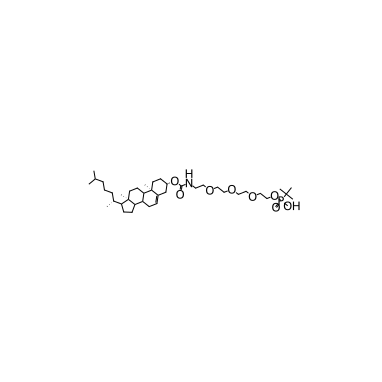 CC(C)CCC[C@@H](C)C1CCC2C3CC=C4C[C@@H](OC(=O)NCCOCCOCCOCCOP(=O)(O)C(C)(C)C)CC[C@]4(C)C3CC[C@@]21C